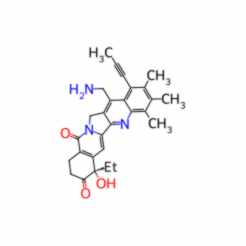 CC#Cc1c(C)c(C)c(C)c2nc3c(c(CN)c12)Cn1c-3cc2c(c1=O)CCC(=O)[C@]2(O)CC